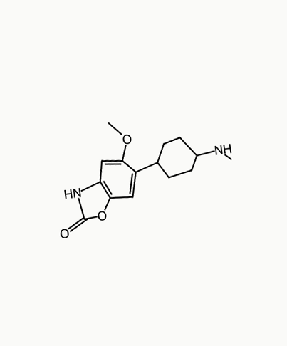 CNC1CCC(c2cc3oc(=O)[nH]c3cc2OC)CC1